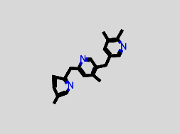 Cc1ccc(Cc2cc(C)c(Cc3cnc(C)c(C)c3)cn2)nc1